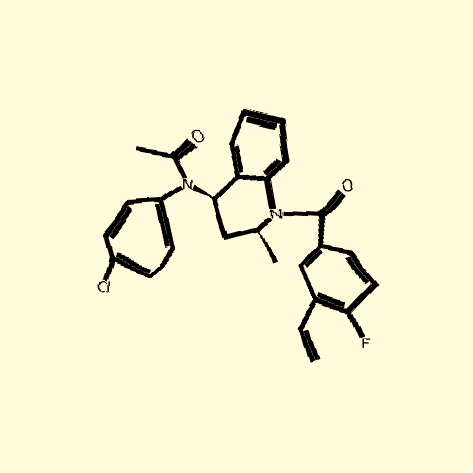 C=Cc1cc(C(=O)N2c3ccccc3[C@H](N(C(C)=O)c3ccc(Cl)cc3)C[C@@H]2C)ccc1F